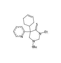 CCN1CN(C(C)(C)C)CC(c2ccccn2)(C2CC=CCC2)C1=S